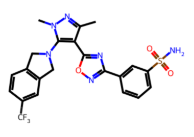 Cc1nn(C)c(N2Cc3ccc(C(F)(F)F)cc3C2)c1-c1nc(-c2cccc(S(N)(=O)=O)c2)no1